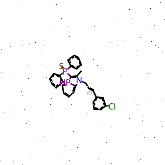 CC1=C(P(=S)(c2ccccc2)c2ccccc2)[PH]2=CC=CC=C2N1C/C=C/c1cccc(Cl)c1